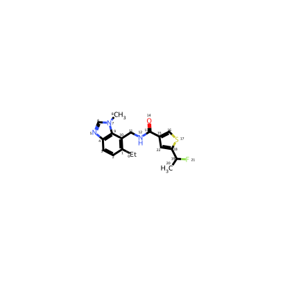 CCc1ccc2ncn(C)c2c1CNC(=O)c1csc(C(C)F)c1